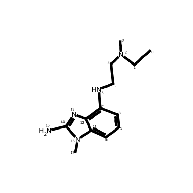 CCN(C)CCNc1cccc2c1nc(N)n2C